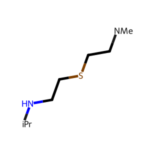 CNCCSCCNC(C)C